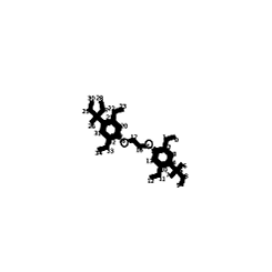 CCc1cc(C(C)(C)CC)c(CC)cc1OCCOc1cc(CC)c(C(C)(CC)CC)cc1CC